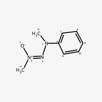 CN(N=[N+](C)[O-])c1ccccc1